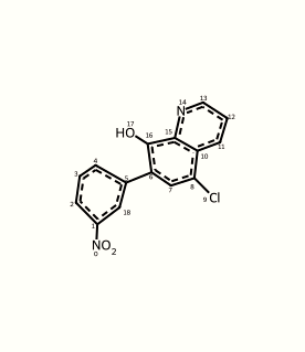 O=[N+]([O-])c1cccc(-c2cc(Cl)c3cccnc3c2O)c1